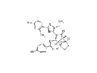 CCc1sc(-c2ccc(Br)cc2C)nc1C1=C(OC(=O)c2ccc(Cl)cc2)[C@@H]2[C@H](C1=O)[C@H]1CC[C@@H]2O1